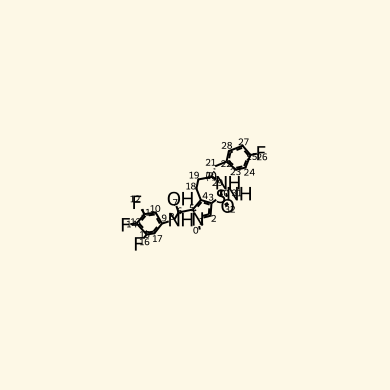 Cn1cc2c(c1C(O)Nc1cc(F)c(F)c(F)c1)CC[C@H](Cc1ccc(F)cc1)NS2(=N)=O